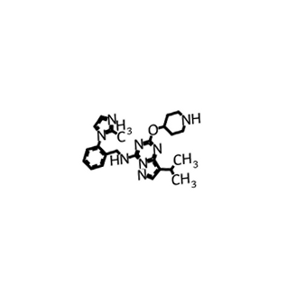 Cc1nccn1-c1ccccc1CNc1nc(OC2CCNCC2)nc2c(C(C)C)cnn12